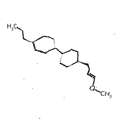 CCC[C@H]1CC[C@H]([C@H]2CC[C@H](CC=COC)CC2)CC1